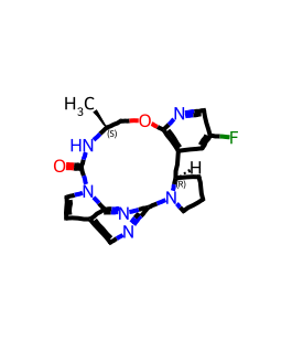 C[C@H]1COc2ncc(F)cc2[C@H]2CCCN2c2ncc3ccn(c3n2)C(=O)N1